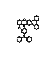 c1ccc(N(c2ccccc2)c2ccc3c(c2)Oc2cccc4c2B3c2cc3c5ccccc5c5ccccc5c3cc2O4)cc1